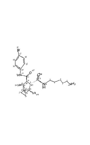 NCCCCCNC(=O)[C@H]1[C@H](C(=O)Nc2ccc(Br)cc2)[C@H]2C=C[C@@H]1C21CC1